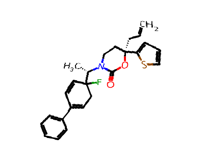 C=CC[C@@]1(c2cccs2)CCN([C@@H](C)C2(F)C=CC(c3ccccc3)=CC2)C(=O)O1